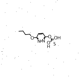 CCCCOc1ccc(OP(O)(O)=S)nn1